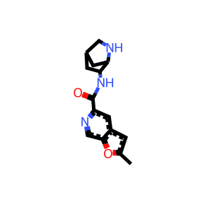 Cc1cc2cc(C(=O)NC3CC4CNC3C4)ncc2o1